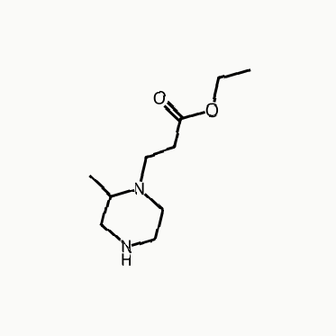 CCOC(=O)CCN1CCNCC1C